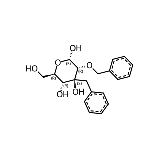 OC[C@H]1O[C@H](O)[C@H](OCc2ccccc2)[C@](O)(Cc2ccccc2)[C@@H]1O